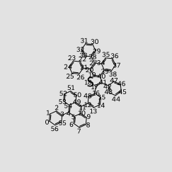 c1ccc(-c2c3ccccc3c(-c3cccc(-c4sc5c(-c6ccccc6)c(-c6ccccc6)c6ccccc6c5c4-c4ccccc4)c3)c3ccccc23)cc1